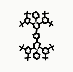 CC(C)(C)c1cc(C2=CC(=c3ccc(=C4C=C(c5cc(C(C)(C)C)cc(C(C)(C)C)c5)N(c5ccccc5)C(c5cc(C(C)(C)C)cc(C(C)(C)C)c5)=C4)cc3)C=C(c3cc(C(C)(C)C)cc(C(C)(C)C)c3)N2c2ccccc2)cc(C(C)(C)C)c1